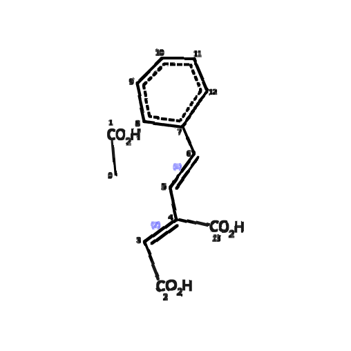 CC(=O)O.O=C(O)/C=C(/C=C/c1ccccc1)C(=O)O